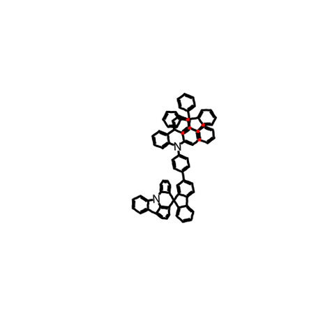 c1ccc(-c2cccc(-c3ccccc3N(c3ccc(-c4ccc5c(c4)C4(c6ccccc6-5)c5ccccc5-n5c6ccccc6c6cccc4c65)cc3)c3ccc4c(c3)C(c3ccccc3)(c3ccccc3)c3ccccc3-4)c2)cc1